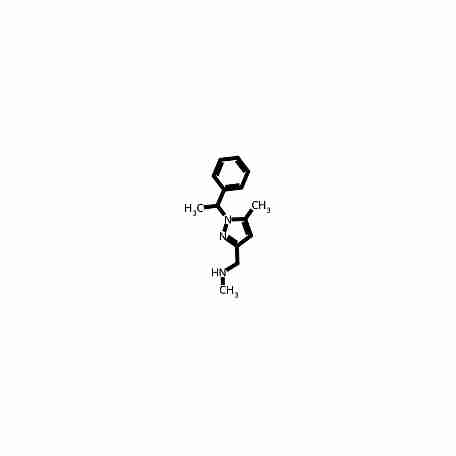 CNCc1cc(C)n(C(C)c2ccccc2)n1